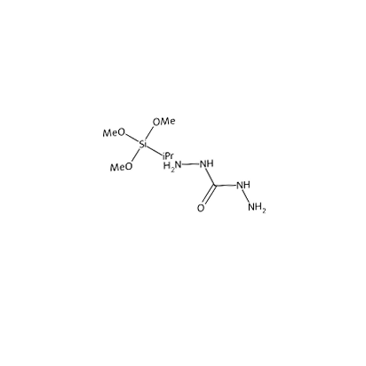 CO[Si](OC)(OC)C(C)C.NNC(=O)NN